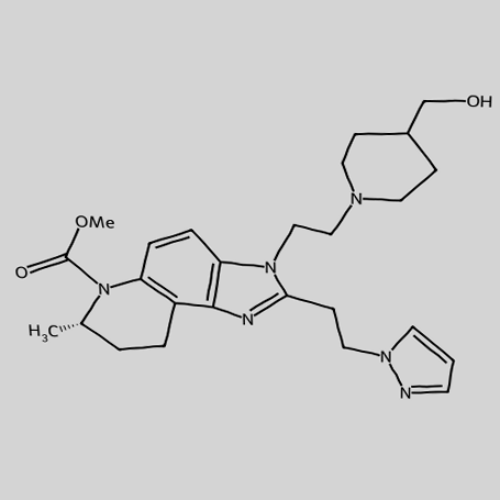 COC(=O)N1c2ccc3c(nc(CCn4cccn4)n3CCN3CCC(CO)CC3)c2CC[C@@H]1C